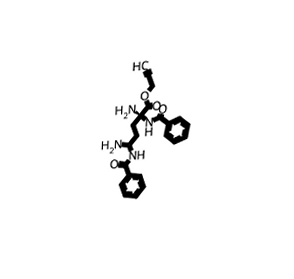 C#CCOC(=O)[C@@](N)(CCC(N)NC(=O)c1ccccc1)NC(=O)c1ccccc1